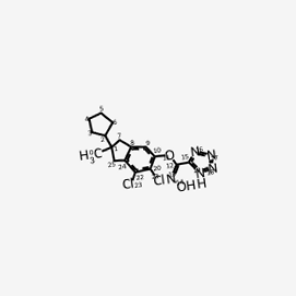 CC1(C2CCCC2)Cc2cc(OC(=NO)c3nnn[nH]3)c(Cl)c(Cl)c2C1